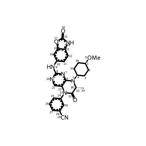 CO[C@H]1CC[C@@H](N2c3nc(Nc4ccc5[nH]c(=O)oc5c4)ncc3N(c3cccc(C#N)c3)C(=O)[C@H]2C)CC1